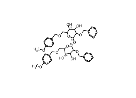 COc1ccc(COCC2O[C@H](O[C@H]3OC(COCc4ccc(OC)cc4)[C@@H](O)C(O)C3OCc3ccccc3)C(OCc3ccccc3)C(O)[C@@H]2O)cc1